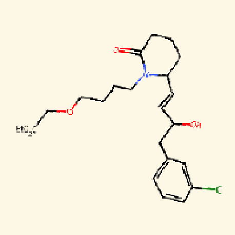 CCOC(=O)COCCCCN1C(=O)CCCC1C=CC(O)Cc1cccc(Cl)c1